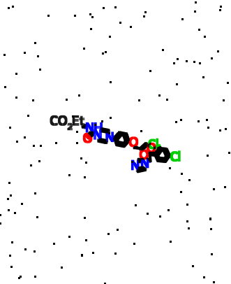 CCOC(=O)CNC(=O)N1CCN(c2ccc(OC[C@H]3CO[C@](Cn4ccnc4)(c4ccc(Cl)cc4Cl)O3)cc2)CC1